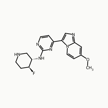 COc1ccn2c(-c3ccnc(N[C@H]4CNCC[C@@H]4F)n3)cnc2c1